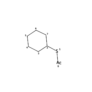 CC(=O)SC1CCCCC1